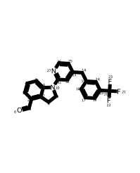 O=Cc1cccc2c1CCN2c1cc(Cc2cccc(C(F)(F)F)c2)ccn1